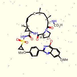 COc1ccc(-c2nc(O[C@@H]3C[C@H]4C(=O)N[C@]5(C(=O)NS(=O)(=O)C6CC6)C[C@@H]5C=CCC[C@@H](C)C[C@@H](C)[C@H](NC(=O)O)C(=O)N4C3)c3ccc(OC)cc3n2)cc1